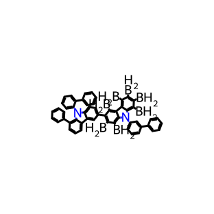 Bc1c(B)c(B)c2c(c1B)c1c(B)c(-c3ccc4c(c3)c3cccc(-c5ccccc5)c3n4-c3ccccc3-c3ccccc3)c(B)c(B)c1n2-c1cccc(-c2ccccc2)c1